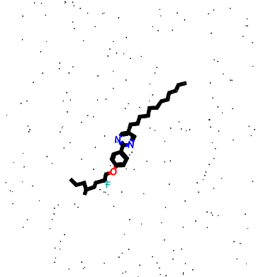 CCCCCCCCCCCCc1cnc(-c2ccc(OCC(F)CCC(C)CCC)cc2)nc1